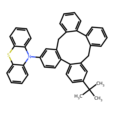 CC(C)(C)c1ccc2c(c1)Cc1ccccc1-c1ccccc1Cc1cc(N3c4ccccc4Sc4ccccc43)ccc1-2